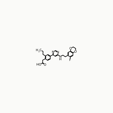 CCCc1cc(-c2cc(NCCc3cc4c(cc3F)OCCO4)ncn2)ccc1CC(=O)O